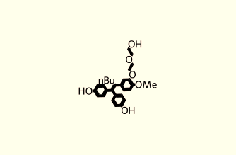 CCCCC(=C(c1ccc(O)cc1)c1ccc(O)cc1)c1ccc(OC)c(OCCOCCO)c1